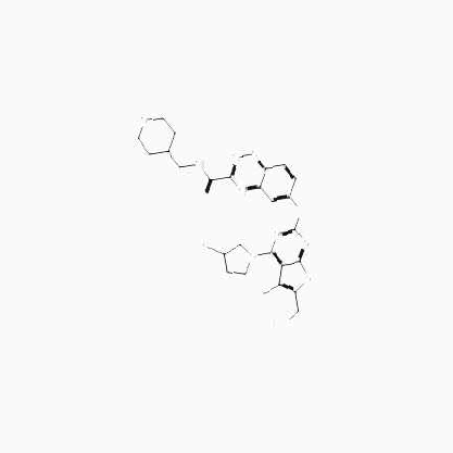 CCc1[nH]c2nc(Sc3ccc4nnc(C(=O)NCC5CCNCC5)nc4c3)nc(N3CCC(N)C3)c2c1Cl